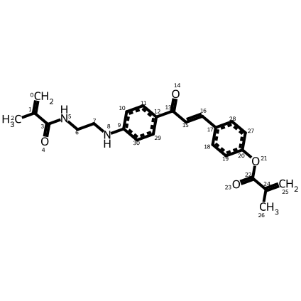 C=C(C)C(=O)NCCNc1ccc(C(=O)/C=C/c2ccc(OC(=O)C(=C)C)cc2)cc1